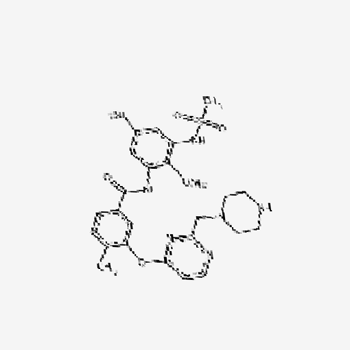 COc1c(NC(=O)c2ccc(C)c(Oc3ccnc(CN4CCNCC4)n3)c2)cc(C(C)(C)C)cc1NS(C)(=O)=O